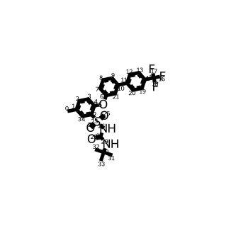 Cc1ccc(Oc2cccc(-c3ccc(C(F)(F)F)cc3)c2)c(S(=O)(=O)NC(=O)NC(C)(C)C)c1